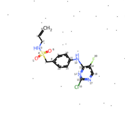 C=CCNS(=O)(=O)Cc1ccc(Nc2nc(Cl)ncc2F)cc1